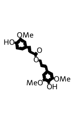 COc1cc(/C=C/C(=O)OC/C=C/c2cc(OC)c(O)c(OC)c2)ccc1O